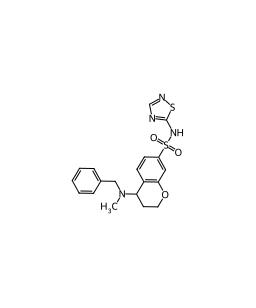 CN(Cc1ccccc1)C1CCOc2cc(S(=O)(=O)Nc3ncns3)ccc21